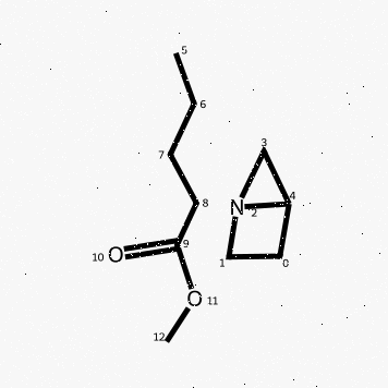 C1CN2CC12.CCCCC(=O)OC